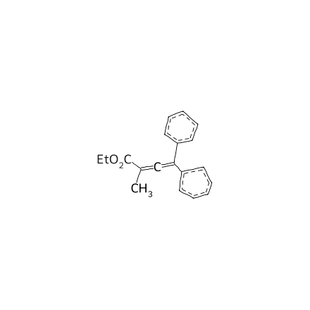 CCOC(=O)C(C)=C=C(c1ccccc1)c1ccccc1